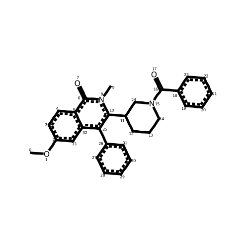 COc1ccc2c(=O)n(C)c(C3CCCN(C(=O)c4ccccc4)C3)c(-c3ccccc3)c2c1